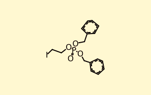 O=P(OCCI)(OCc1ccccc1)OCc1ccccc1